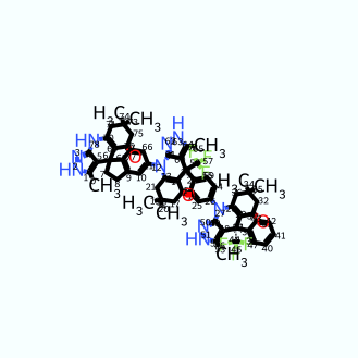 Cc1[nH]nc2c1C1(CCc3cc(N4C5=C(C(=O)CC(C)(C)C5)C(c5ccc(N6C7=C(C(=O)CC(C)(C)C7)[C@](c7ccccc7)(C(F)(F)F)c7c6n[nH]c7C)cc5)(C(F)(F)F)c5c4n[nH]c5C)ccc31)C1=C(CC(C)(C)CC1=O)N2